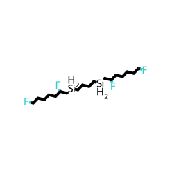 FCCCCCC(F)C[SiH2]CCCC[SiH2]CC(F)CCCCCF